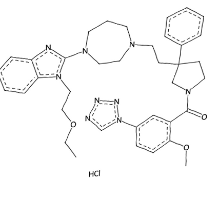 CCOCCn1c(N2CCCN(CCC3(c4ccccc4)CCN(C(=O)c4cc(-n5cnnn5)ccc4OC)C3)CC2)nc2ccccc21.Cl